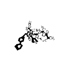 CC(OC(=O)NC(c1ccsc1)P(=O)(O)CC(Cc1ccc(-c2ccccc2)cc1)C(=O)NC(C)C(=O)O)OC(=O)C(C)C